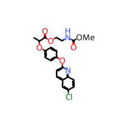 COC(=O)NCCOC(=O)C(C)Oc1ccc(Oc2ccc3cc(Cl)ccc3n2)cc1